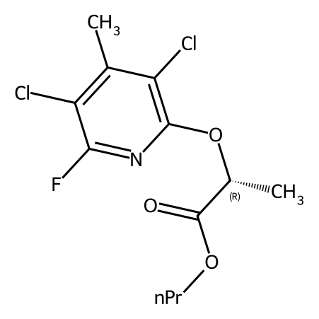 CCCOC(=O)[C@@H](C)Oc1nc(F)c(Cl)c(C)c1Cl